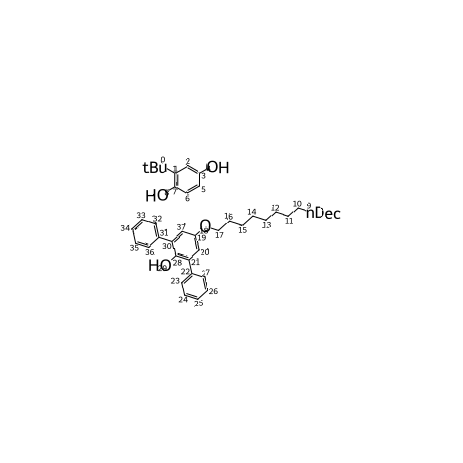 CC(C)(C)c1cc(O)ccc1O.CCCCCCCCCCCCCCCCCCOc1cc(-c2ccccc2)c(O)c(-c2ccccc2)c1